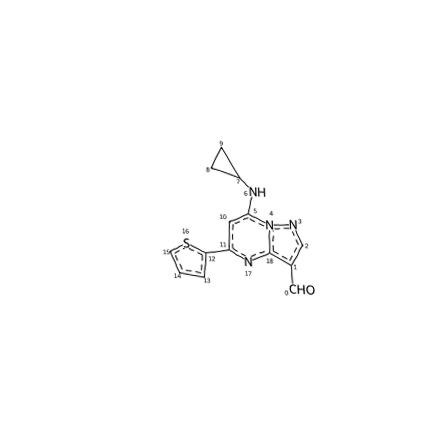 O=Cc1cnn2c(NC3CC3)cc(-c3cccs3)nc12